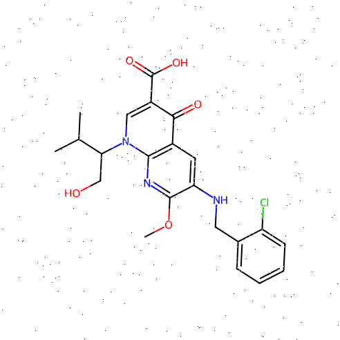 COc1nc2c(cc1NCc1ccccc1Cl)c(=O)c(C(=O)O)cn2C(CO)C(C)C